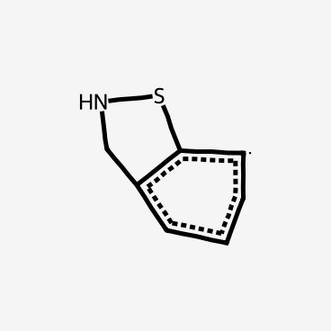 [c]1cccc2c1SNC2